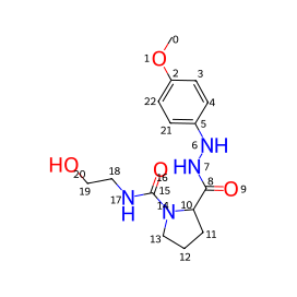 COc1ccc(NNC(=O)C2CCCN2C(=O)NCCO)cc1